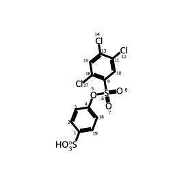 O=S(=O)(O)c1ccc(OS(=O)(=O)c2cc(Cl)c(Cl)cc2Cl)cc1